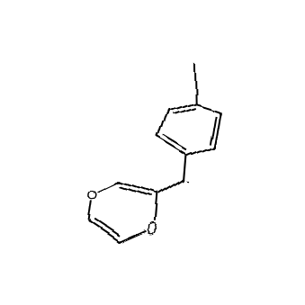 Cc1ccc([CH]C2=COC=CO2)cc1